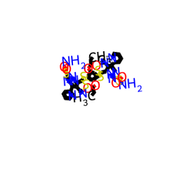 [C-]#[N+]c1c(-c2ccccn2)c2nc(S(N)(=O)=O)nn2c1=C1Sc2c(OC(=O)CC)c3c(c(OC(=O)CC)c2S1)SC(=c1c(C#N)c(-c2ccccn2)c2nc(SOON)nn12)S3